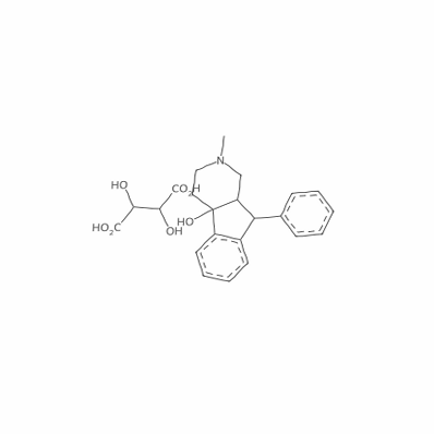 CN1CCC2(O)c3ccccc3C(c3ccccc3)C2C1.O=C(O)C(O)C(O)C(=O)O